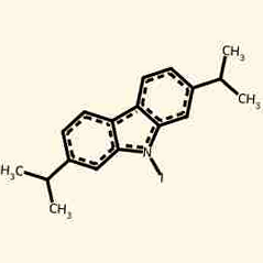 CC(C)c1ccc2c3ccc(C(C)C)cc3n(I)c2c1